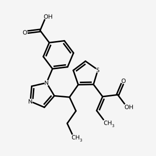 CC=C(C(=O)O)c1sccc1C(CCC)c1cncn1-c1cccc(C(=O)O)c1